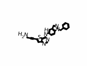 NCC#Cc1cc2ncnc(Nc3ccc4c(cnn4Cc4ccccc4)c3)c2s1